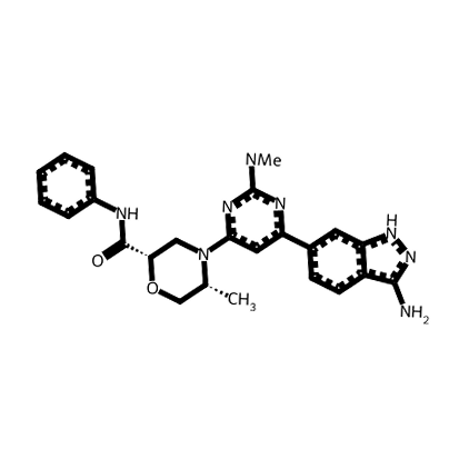 CNc1nc(-c2ccc3c(N)n[nH]c3c2)cc(N2C[C@@H](C(=O)Nc3ccccc3)OC[C@H]2C)n1